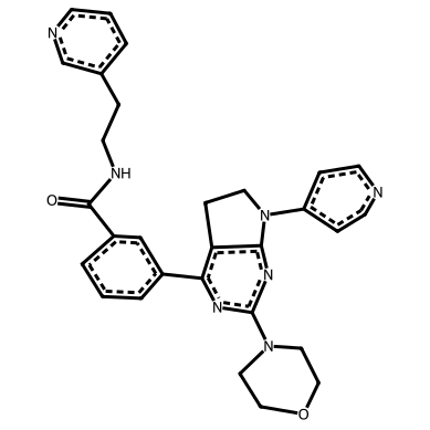 O=C(NCCc1cccnc1)c1cccc(-c2nc(N3CCOCC3)nc3c2CCN3c2ccncc2)c1